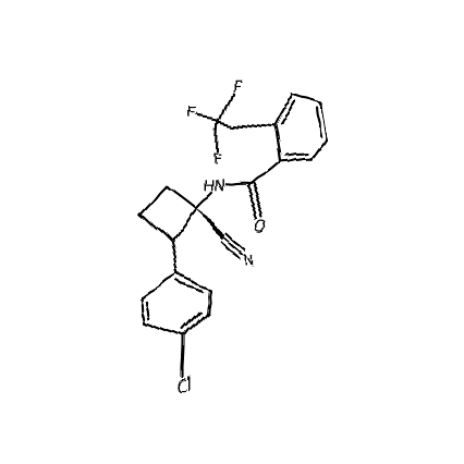 N#C[C@]1(NC(=O)c2ccccc2C(F)(F)F)CCC1c1ccc(Cl)cc1